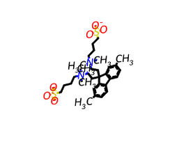 Cc1ccc2c(c1)C(CC[N+](C)(C)CCCCS(=O)(=O)[O-])(CC[N+](C)(C)CCCCS(=O)(=O)[O-])c1cc(C)ccc1-2